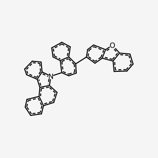 c1ccc2c(c1)ccc1c2c2ccccc2n1-c1ccc(-c2ccc3oc4ccccc4c3c2)c2ccccc12